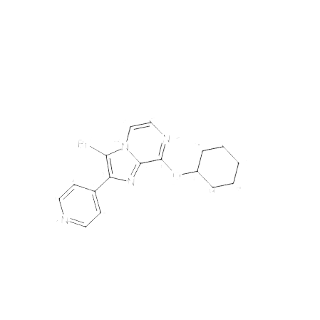 Brc1c(-c2ccncc2)nc2c(OC3CCCCC3)nccn12